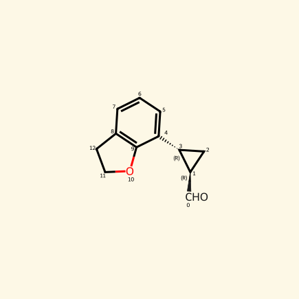 O=C[C@@H]1C[C@H]1c1cccc2c1OCC2